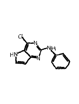 Clc1nc(Nc2ccccc2)nc2cc[nH]c12